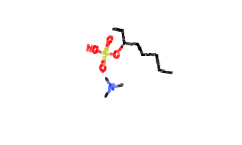 CCCCCC(CC)OS(=O)(=O)O.CN(C)C